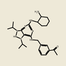 CC(=O)c1cccc(CNc2nc(NC3CCCCC3N)nc3c2N(C(C)C)NN3C(C)C)c1